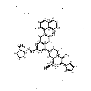 C=C(C(=O)N1CCN(c2nc(OC[C@@H]3CCCN3C)nc3c2CCN(c2cccc4cccc(Cl)c24)C3)C[C@@H]1CC#N)n1cccc1